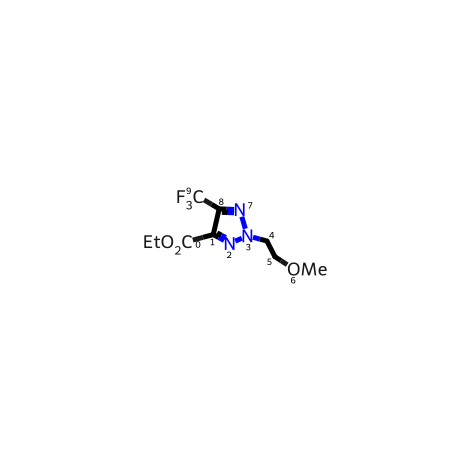 CCOC(=O)c1nn(CCOC)nc1C(F)(F)F